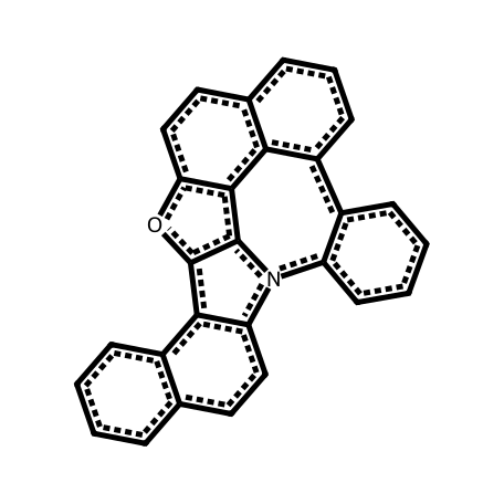 c1ccc2c(c1)ccc1c2c2oc3ccc4cccc5c6ccccc6n1c2c3c45